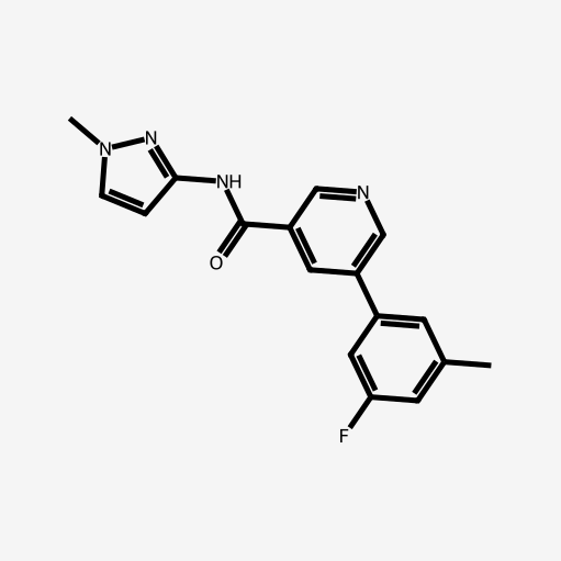 Cc1cc(F)cc(-c2cncc(C(=O)Nc3ccn(C)n3)c2)c1